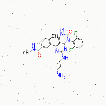 CCCNC(=O)c1ccc(C)c(-c2nc(NCCCN)nc3c2CNC(=O)N3c2c(F)cccc2F)c1